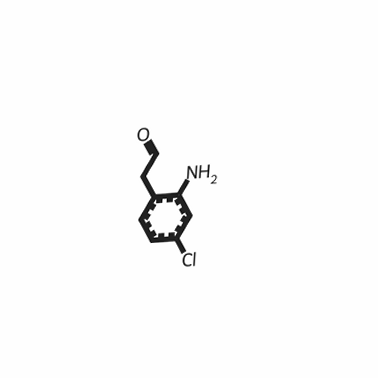 Nc1cc(Cl)ccc1CC=O